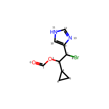 O=COC(C1CC1)C(Br)c1c[nH]cn1